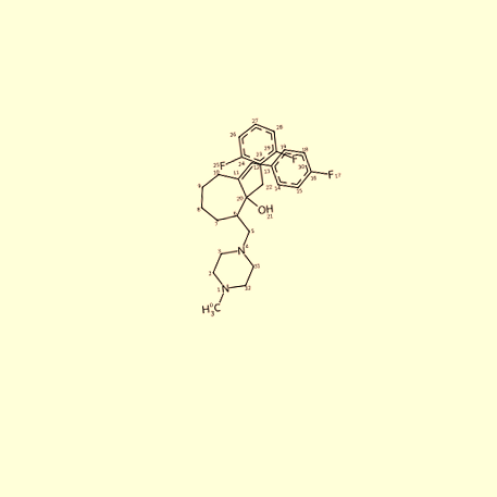 CN1CCN(CC2CCCC/C(=C/c3ccc(F)cc3)C2(O)Cc2c(F)cccc2F)CC1